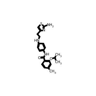 Cc1ccc(C(=O)Nc2ccc(NCCc3csc(N)n3)cc2)c(OC(C)C)c1